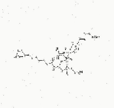 CCCCCCCC/C=C\CCCCCCCC(=O)OC(C[N+](C)(C)CCO)C(C[N+](C)(C)CCO)OC(=O)CCCCCCC/C=C\CCCCCCCC